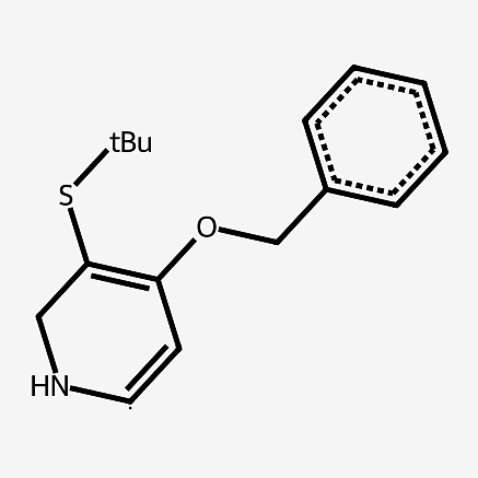 CC(C)(C)SC1=C(OCc2ccccc2)C=[C]NC1